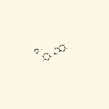 COc1cc2cnc(Nc3ccc(Sc4nccn4C)c(Cl)c3)nc2cc1OC.Cl.Cl